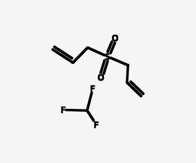 C=CCS(=O)(=O)CC=C.FC(F)F